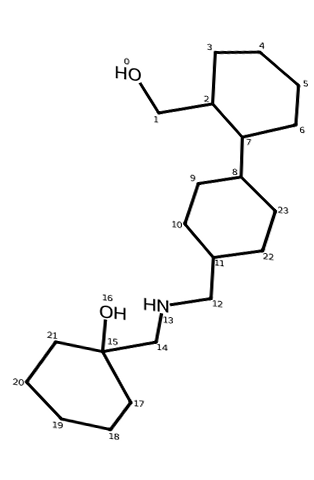 OCC1CCCCC1C1CCC(CNCC2(O)CCCCC2)CC1